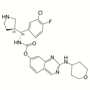 O=C(N[C@@H](c1ccc(F)c(Cl)c1)[C@H]1CCNC1)Oc1ccc2cnc(NC3CCOCC3)nc2c1